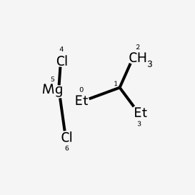 CCC(C)CC.[Cl][Mg][Cl]